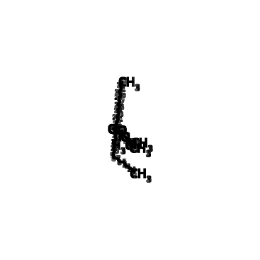 CCCCCCCC/C=C\CCCCCCC(C(=O)CCCCCCCCCCCCCCC)C(=O)[P-]OCC[N+](C)(C)C